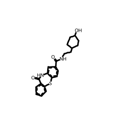 O=C(NCCC1CCC(O)CC1)c1ccc2c(c1)NC(=O)c1ccccc1S2